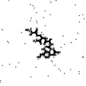 CC(=O)[C@H](NC(=O)C(C)C)[C@@H](OC(=O)NC(C)C(=O)NC(CCC(=O)N(C)C(=O)O)C(N)=O)[C@H](O)[C@H](O)CO